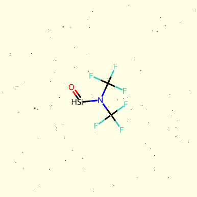 O=[SiH]N(C(F)(F)F)C(F)(F)F